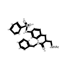 CC(=O)NCC(Cc1ccc(OS(=O)(=O)c2ccccc2)cc1)C(=O)OCc1ccccc1